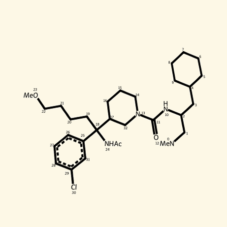 CNCC(CC1CCCCC1)NC(=O)N1CCCC(C(CCCCOC)(NC(C)=O)c2cccc(Cl)c2)C1